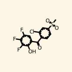 CS(=O)(=O)c1ccc(C(=O)c2cc(F)c(F)c(F)c2O)c(Cl)c1